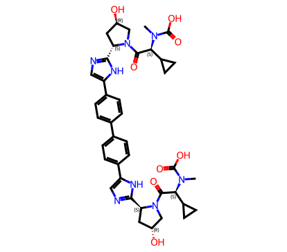 CN(C(=O)O)[C@H](C(=O)N1C[C@H](O)C[C@H]1c1ncc(-c2ccc(-c3ccc(-c4cnc([C@@H]5C[C@@H](O)CN5C(=O)[C@H](C5CC5)N(C)C(=O)O)[nH]4)cc3)cc2)[nH]1)C1CC1